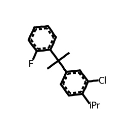 CC(C)c1ccc(C(C)(C)c2ccccc2F)cc1Cl